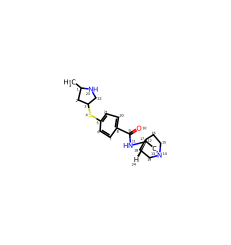 CC1CC(Sc2ccc(C(=O)N[C@H]3CN4CCC3CC4)cc2)CN1